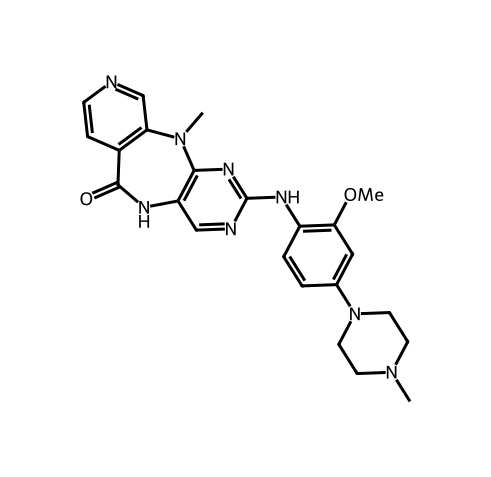 COc1cc(N2CCN(C)CC2)ccc1Nc1ncc2c(n1)N(C)c1cnccc1C(=O)N2